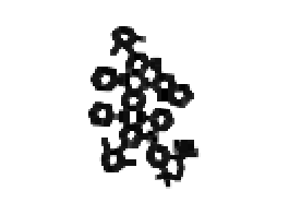 Cc1cccc(C)c1-c1cc2c3c(c1)N(c1ccccc1)c1cc4c(cc1B3c1nc3ccccc3cc1O2)B1c2ccccc2N(c2ccc3c(c2)C(C)(N)CCC3(C)C)c2cc(-c3c(C)cccc3C)cc(c21)N4c1ccccc1